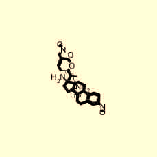 C[C@H]([C@H]1CC=C(CN=O)C(=O)O1)[C@@]1(N)CC[C@@]2(N)[C@@H]3CCc4cc(N=O)ccc4C3CC[C@@]21C